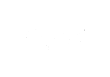 FC(F)(F)C1CCC(NC2CCCCC2)CC1